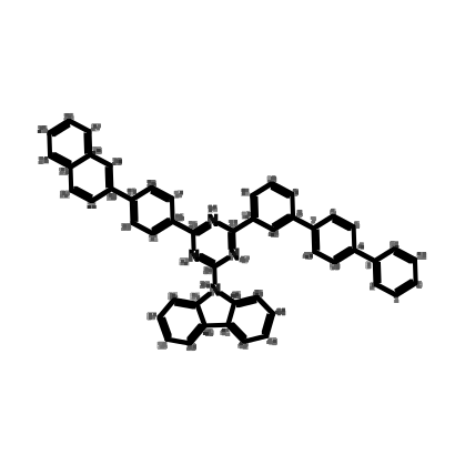 c1ccc(-c2ccc(-c3cccc(-c4nc(-c5ccc(-c6ccc7ccccc7c6)cc5)nc(-n5c6ccccc6c6ccccc65)n4)c3)cc2)cc1